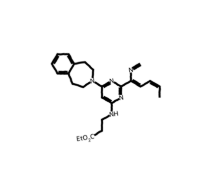 C=N/C(=C\C=C/C)c1nc(NCCC(=O)OCC)cc(N2CCc3ccccc3CC2)n1